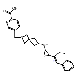 CC/C(=C\c1ccccc1)C1CC1NC1CC2(C1)CN(Cc1ccc(C(=O)O)nc1)C2